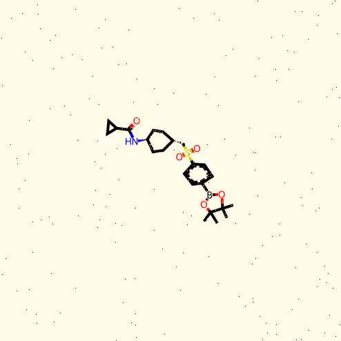 CC1(C)OB(c2ccc(S(=O)(=O)C[C@H]3CC[C@H](NC(=O)C4CC4)CC3)cc2)OC1(C)C